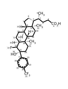 C[C@H](CCC(=O)O)[C@H]1CC[C@H]2[C@@H]3CC[C@@H]4C(F)[C@](O)(c5ccc(C(F)(F)F)cc5)CC[C@]4(C)[C@H]3CC[C@]12C